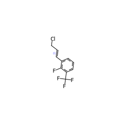 Fc1c(/C=C/CCl)cccc1C(F)(F)F